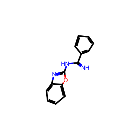 N=C(Nc1nc2ccccc2o1)c1ccccc1